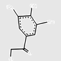 CC(C)(C)c1cc(C(=O)CCl)cc(C(C)(C)C)c1O